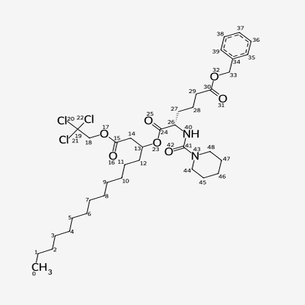 CCCCCCCCCCCCCC(CC(=O)OCC(Cl)(Cl)Cl)OC(=O)[C@H](CCCC(=O)OCc1ccccc1)NC(=O)N1CCCCC1